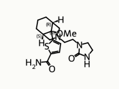 CO[C@]1(c2ccc(C(N)=O)s2)[C@@H]2CCC[C@H]1CN(CCN1CCNC1=O)C2